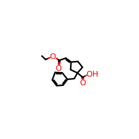 CCOC(=O)/C=C1/CCC(Cc2ccccc2)(C(=O)O)C1